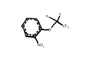 O=[N+]([O-])c1ccccc1SC(F)(F)C(F)(F)F